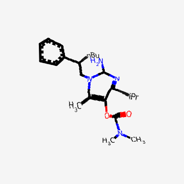 CCCCC(CN1C(C)=C(OC(=O)N(C)C)C(C(C)C)=NC1N)c1ccccc1